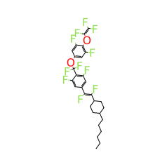 CCCCCCC1CCC(/C(F)=C(\F)c2cc(F)c(C(F)(F)Oc3cc(F)c(OC(F)=C(F)F)c(F)c3)c(F)c2)CC1